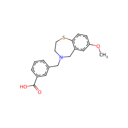 COc1ccc2c(c1)CN(Cc1cccc(C(=O)O)c1)CCS2